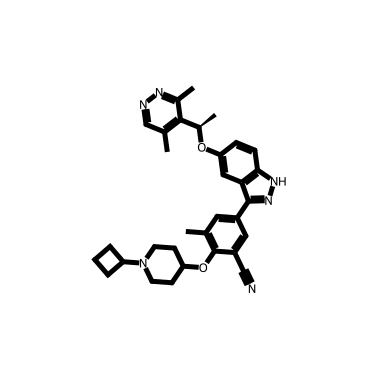 Cc1cc(-c2n[nH]c3ccc(O[C@H](C)c4c(C)cnnc4C)cc23)cc(C#N)c1OC1CCN(C2CCC2)CC1